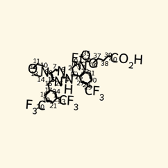 CC[C@@H]1C[C@H](Nc2ncc(N3CCOCC3)c(Cc3cc(C(F)(F)F)cc(C(F)(F)F)c3)n2)c2cc(C(F)(F)F)ccc2N1C(=O)OCCCC(=O)O